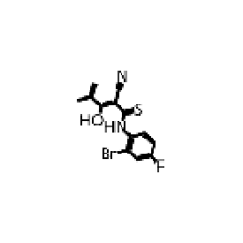 C=C(C)C(O)=C(C#N)C(=S)Nc1ccc(F)cc1Br